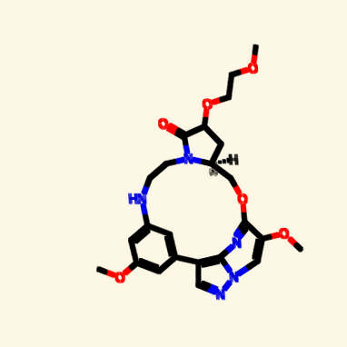 COCCOC1C[C@H]2COc3nc4c(cnn4cc3OC)-c3cc(cc(OC)c3)NCCN2C1=O